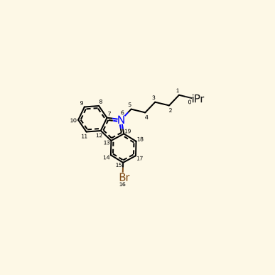 CC(C)CCCCCn1c2ccccc2c2cc(Br)ccc21